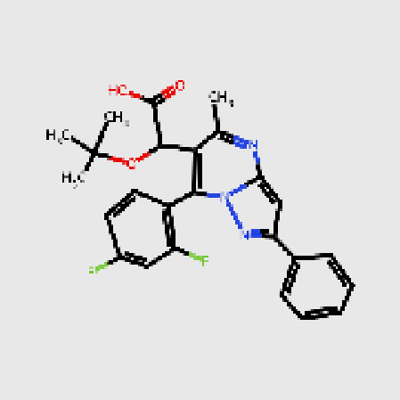 Cc1nc2cc(-c3ccccc3)nn2c(-c2ccc(F)cc2F)c1C(OC(C)(C)C)C(=O)O